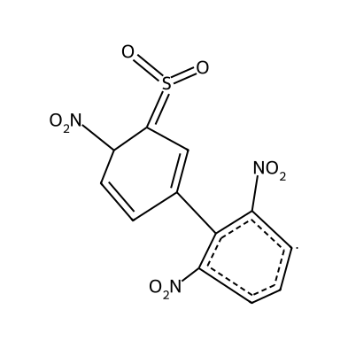 O=[N+]([O-])c1[c]ccc([N+](=O)[O-])c1C1=CC(=S(=O)=O)C([N+](=O)[O-])C=C1